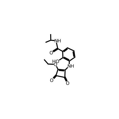 CCOc1c(Nc2cccc(C(=O)NC(C)C)c2O)c(=O)c1=O